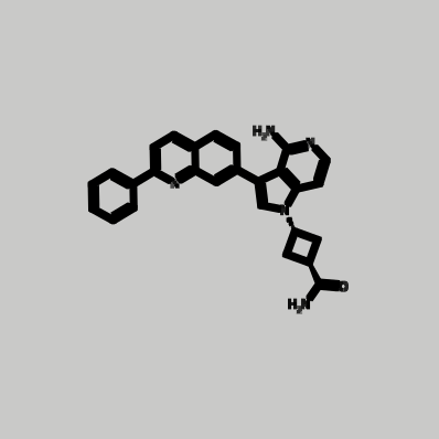 Nc1nccc2c1c(-c1ccc3ccc(-c4ccccc4)nc3c1)cn2[C@H]1C[C@H](C(N)=O)C1